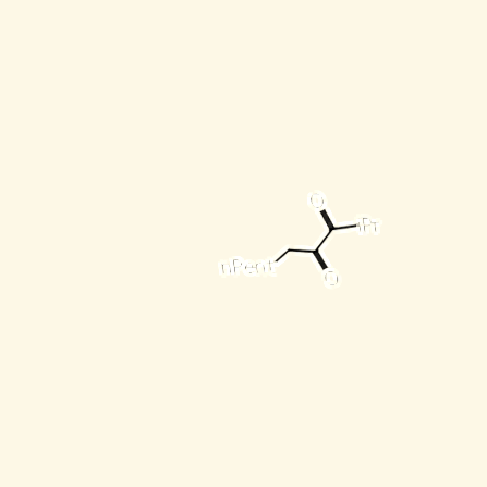 CCCCCCC(=O)C(=O)C(C)C